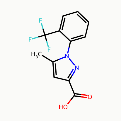 Cc1cc(C(=O)O)nn1-c1ccccc1C(F)(F)F